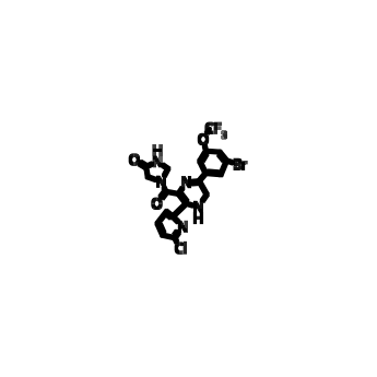 O=C1CN(C(=O)C2=C(c3cccc(Cl)n3)NCC(c3cc(Br)cc(OC(F)(F)F)c3)=N2)CN1